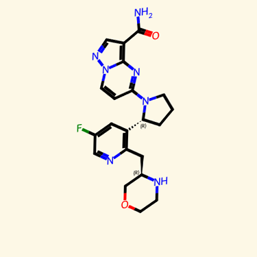 NC(=O)c1cnn2ccc(N3CCC[C@@H]3c3cc(F)cnc3C[C@@H]3COCCN3)nc12